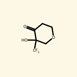 O=C1CCOCC1(O)C(F)(F)F